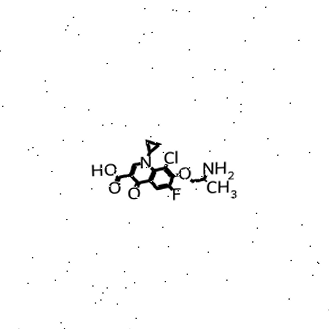 C[C@@H](N)COc1c(F)cc2c(=O)c(C(=O)O)cn(C3CC3)c2c1Cl